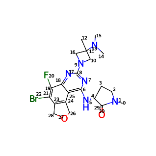 CN1CC[C@@H](Nc2nc(N3CC(C)(N(C)C)C3)nc3c(F)c(Br)c4c(c23)COC4)C1=O